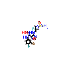 N[S+]([O-])N1CC(F)(CNc2nonc2/C(=N/O)Nc2ccc(F)c(Br)c2)C1